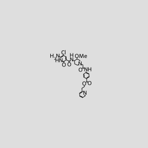 CO[C@H]1CN(CC(=O)Nc2ccc(C(=O)OCCc3ccccn3)cc2)CC[C@H]1NC(=O)c1cc(Cl)c(N)[nH]c1=O